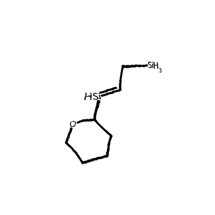 [SiH3]CC=[SiH]C1CCCCO1